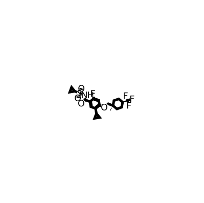 C[C@]1(COc2cc(F)c(C(=O)NS(=O)(=O)C3CC3)cc2C2CC2)CC[C@@H](C(F)(F)F)CC1